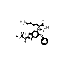 COC(=O)Nc1nc2cc(Sc3ccccc3)ccc2[nH]1.NCCCCC(N)C(=O)O